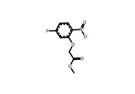 COC(=O)COc1cc(F)ccc1[N+](=O)[O-]